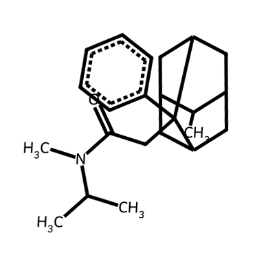 CC1C2CC3CC1CC(C2)C3(CC(=O)N(C)C(C)C)c1ccccc1